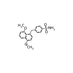 COc1ccc(Cc2ccc(S(N)(=O)=O)cc2)c2c(OC)cccc12